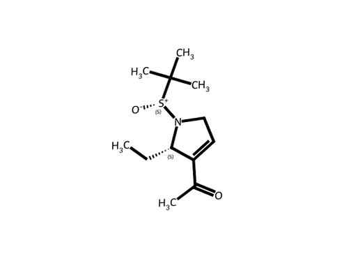 CC[C@H]1C(C(C)=O)=CCN1[S@+]([O-])C(C)(C)C